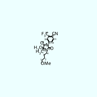 COCCCCN1C(=O)N(c2ccc(C#N)c(C(F)(F)F)c2)C(=O)C1(C)C